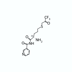 N[C@@H](CCCSCC(=O)C(F)(F)F)C(=O)NC(=O)c1cccnc1